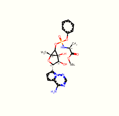 CCCCOC(=O)[C@H](C)NP(=O)(Oc1ccccc1)OC1[C@@]2(C)O[C@@H](c3ccc4c(N)ncnn34)[C@H](O)[C@@]12O